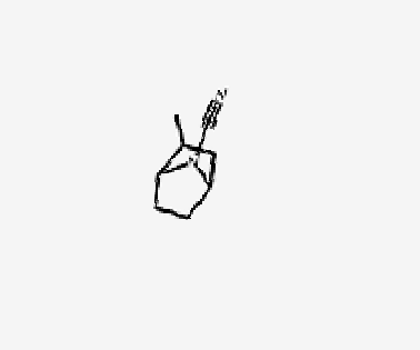 CC1CC2CCC1N2C#N